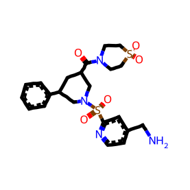 NCc1ccnc(S(=O)(=O)N2CC(C(=O)N3CCS(=O)(=O)CC3)CC(c3ccccc3)C2)c1